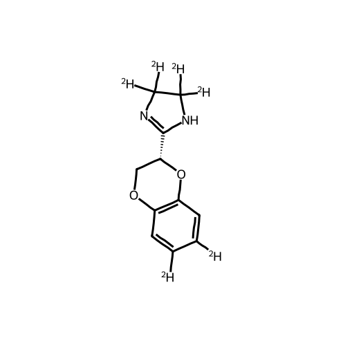 [2H]c1cc2c(cc1[2H])O[C@@H](C1=NC([2H])([2H])C([2H])([2H])N1)CO2